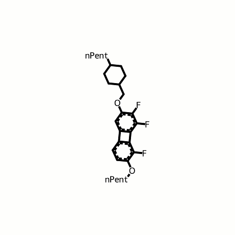 CCCCCOc1ccc2c(c1F)-c1c-2cc(OCC2CCC(CCCCC)CC2)c(F)c1F